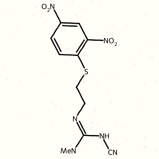 CNC(=NCCSc1ccc([N+](=O)[O-])cc1[N+](=O)[O-])NC#N